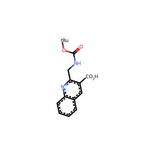 CC(C)(C)OC(=O)NCc1nc2ccccc2cc1C(=O)O